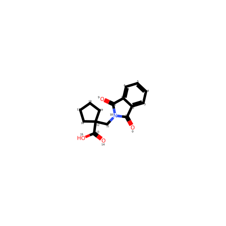 O=C1c2ccccc2C(=O)N1CC1(C(=O)O)CCCC1